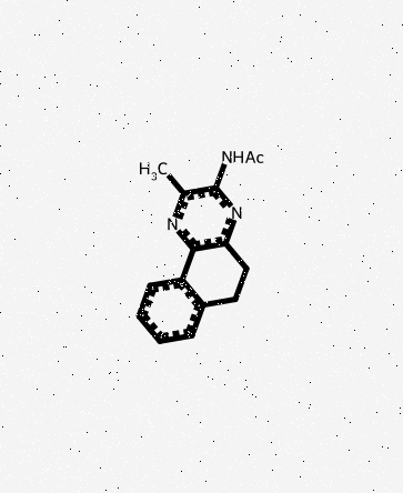 CC(=O)Nc1nc2c(nc1C)-c1ccccc1CC2